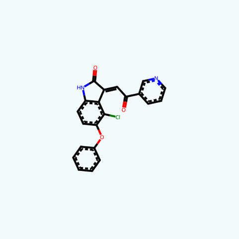 O=C1Nc2ccc(Oc3ccccc3)c(Cl)c2/C1=C\C(=O)c1cccnc1